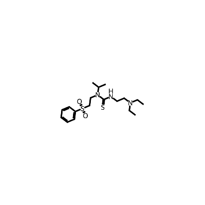 CCN(CC)CCNC(=S)N(CCS(=O)(=O)c1ccccc1)C(C)C